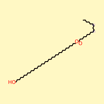 CCCCC/C=C\C/C=C\CCCCCCCC(=O)OCCCCCCCCCCCCCCCCCCCCCCCCCCCCCCCCCCCO